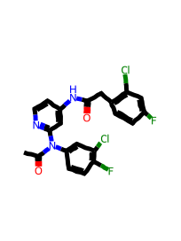 CC(=O)N(c1ccc(F)c(Cl)c1)c1cc(NC(=O)Cc2ccc(F)cc2Cl)ccn1